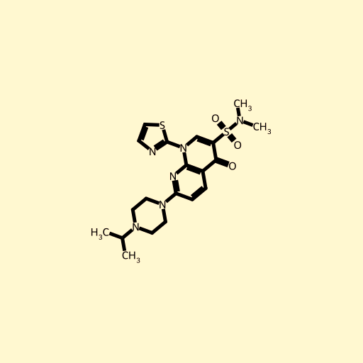 CC(C)N1CCN(c2ccc3c(=O)c(S(=O)(=O)N(C)C)cn(-c4nccs4)c3n2)CC1